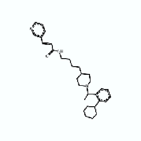 CC(c1ccccc1C1CCCCC1)N1CCC(CCCCNC(=O)C=Cc2cccnc2)CC1